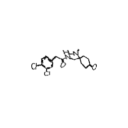 CN(C)C1(CNC(=O)Cc2ccc(Cl)c(Cl)c2)CCC(=O)CC1